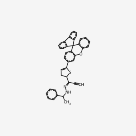 C#C/C(=N\NC(C)c1ccccc1)C1CC=C(c2ccc3c(c2)Oc2ccccc2C32c3ccccc3-c3ccccc32)S1